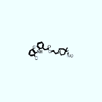 CC1(SN=O)CCN(CCOC(=O)Cc2ccccc2Nc2c(Cl)cccc2Cl)CC1